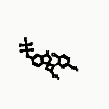 CN1CC2(CNc3cc(OS(=O)(=O)C(F)(F)F)ccc32)[C@@H]1c1nc(N)ncc1Cl